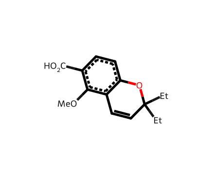 CCC1(CC)C=Cc2c(ccc(C(=O)O)c2OC)O1